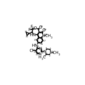 CC1CN(C)CCN1c1ncc(Cl)c(Nc2ccc3c(c2)c2c(c(=O)n3C)C(=O)OC(F)(F)C(C3CC3)N2)n1